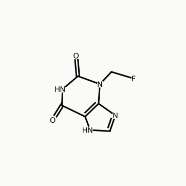 O=c1[nH]c(=O)n(CF)c2nc[nH]c12